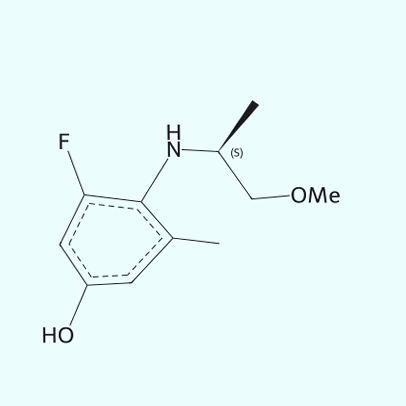 COC[C@H](C)Nc1c(C)cc(O)cc1F